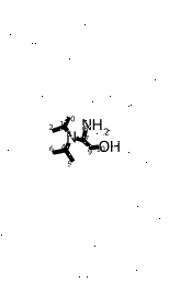 CC(C)N(C(C)C)C(N)CO